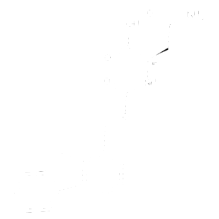 NC(=O)C[C@@H](NC(=O)OCc1cccc2c1Cc1ccccc1-2)C(=O)O